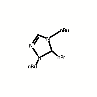 CCCCN1C=NN(CCCC)C1CCC